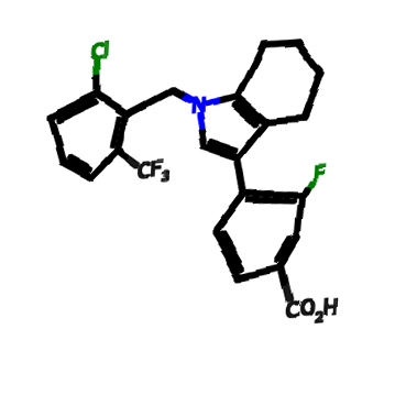 O=C(O)c1ccc(-c2cn(Cc3c(Cl)cccc3C(F)(F)F)c3c2CCCC3)c(F)c1